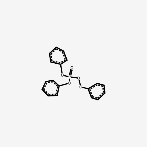 O=P(OOc1ccccc1)(Oc1ccccc1)Oc1ccccc1